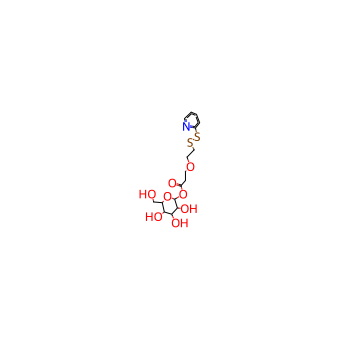 O=C(CCOCCSSc1ccccn1)OC1OC(CO)C(O)C(O)C1O